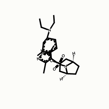 CCN(CC)c1ccc(OC2C[C@H]3CC[C@@H](C2)N3S(=O)(=O)c2c(C)n[nH]c2C)c(C)c1